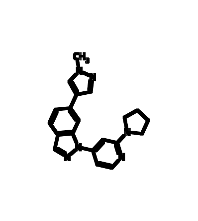 Cn1cc(-c2ccc3cnn(-c4ccnc(N5CCCC5)c4)c3c2)cn1